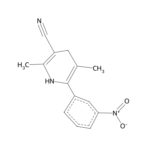 CC1=C(c2cccc([N+](=O)[O-])c2)NC(C)=C(C#N)C1